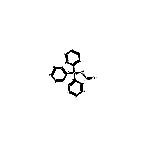 [O]=[V][O][Si](c1ccccc1)(c1ccccc1)c1ccccc1